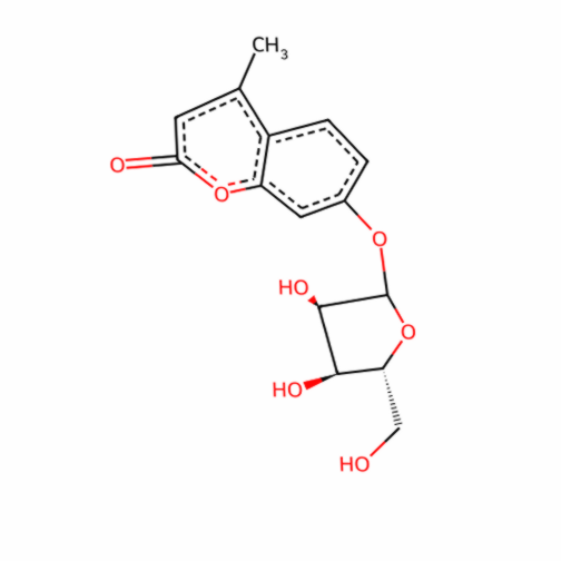 Cc1cc(=O)oc2cc(OC3O[C@H](CO)[C@@H](O)[C@H]3O)ccc12